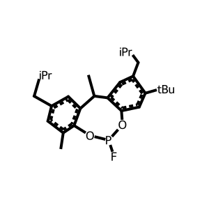 Cc1cc(CC(C)C)cc2c1OP(F)Oc1cc(C(C)(C)C)c(CC(C)C)cc1C2C